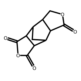 O=C1OCC2C3CC(C12)C1C(=O)OC(=O)C31